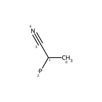 CC([P])C#N